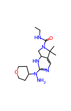 CCNC(=O)N1CC2NC(N(N)C3CCOCC3)=NC=C2C1(C)C